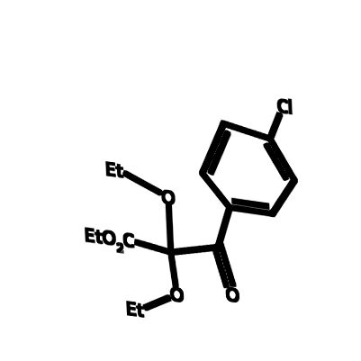 CCOC(=O)C(OCC)(OCC)C(=O)c1ccc(Cl)cc1